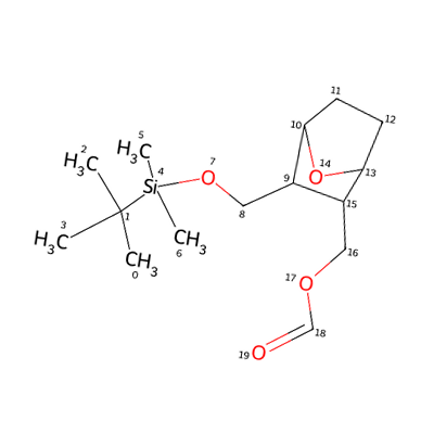 CC(C)(C)[Si](C)(C)OCC1C2CCC(O2)C1COC=O